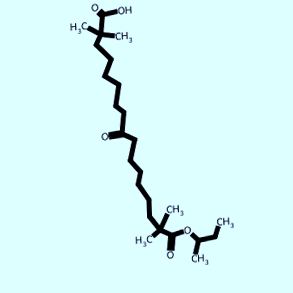 CCC(C)OC(=O)C(C)(C)CCCCCCC(=O)CCCCCCC(C)(C)C(=O)O